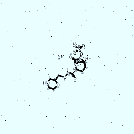 O=C(NOCC1CNCCO1)[C@@H]1CC[C@@H]2CN1C(=O)N2OS(=O)(=O)[O-].[Na+]